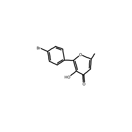 Cc1cc(=O)c(O)c(-c2ccc(Br)cc2)o1